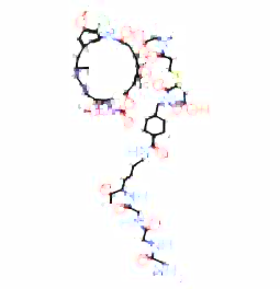 COc1cc2cc(c1Cl)N(C)C(=O)C[C@H](OC(=O)[C@H](C)N(C)C(=O)CCS[C@@H](CC(=O)O)C(=O)NCC1CCC(C(=O)NCCCCC(NC(=O)CNC(=O)CNC(=O)CN)C(C)=O)CC1)[C@]1(C)O[C@H]1[C@H](C)C1C[C@@](O)(NC(=O)O1)[C@H](OC)/C=C/C=C(\C)C2